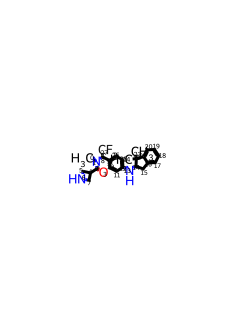 CN(C(=O)C1CNC1)C(c1ccc(NC2Cc3ccccc3C2(C)C)cc1)C(F)(F)F